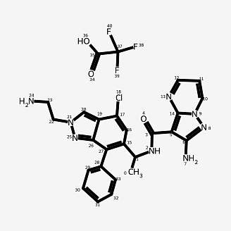 CC(NC(=O)c1c(N)nn2cccnc12)c1cc(Cl)c2cn(CCN)nc2c1-c1ccccc1.O=C(O)C(F)(F)F